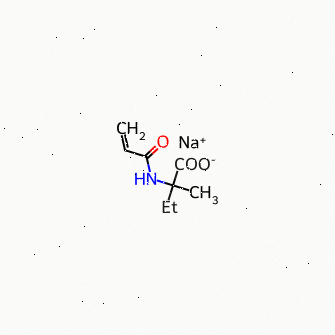 C=CC(=O)NC(C)(CC)C(=O)[O-].[Na+]